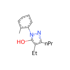 CCCc1nn(-c2ccccc2C)c(O)c1CC